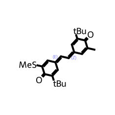 CSC1=C/C(=C/C=C2/C=C(C)C(=O)C(C(C)(C)C)=C2)C=C(C(C)(C)C)C1=O